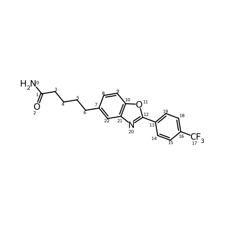 NC(=O)CCCCc1ccc2oc(-c3ccc(C(F)(F)F)cc3)nc2c1